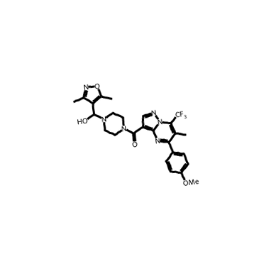 COc1ccc(-c2nc3c(C(=O)N4CCN(C(O)c5c(C)noc5C)CC4)cnn3c(C(F)(F)F)c2C)cc1